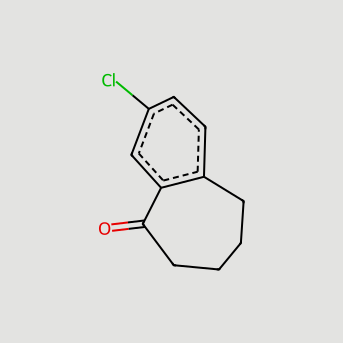 O=C1CCCCc2ccc(Cl)cc21